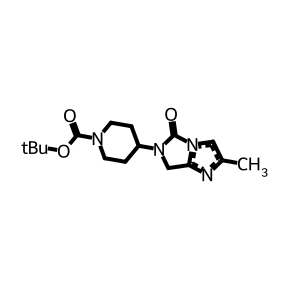 Cc1cn2c(n1)CN(C1CCN(C(=O)OC(C)(C)C)CC1)C2=O